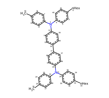 CCCCCCc1ccc(N(c2ccc(C)cc2)c2ccc(-c3ccc(N(c4ccc(C)cc4)c4ccc(CCCCCC)cc4)cc3)cc2)cc1